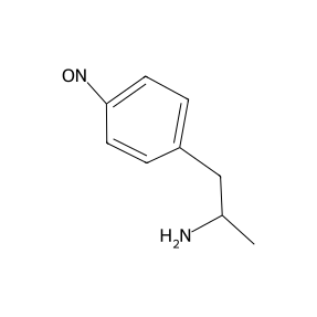 CC(N)Cc1ccc(N=O)cc1